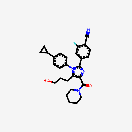 N#Cc1ccc(-c2nc(C(=O)N3CCCCC3)c(CCCO)n2-c2ccc(C3CC3)cc2)cc1F